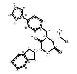 CCC(CC)[C@@H]1C(=O)N[C@H](C2Cc3ccccc3C2)C(=O)N1Cc1ccc(-n2cncn2)cc1